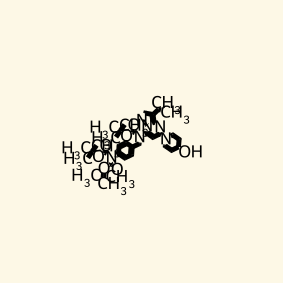 CC(C)c1cnn2c(N(Cc3ccc(N(C(=O)OC(C)(C)C)C(=O)OC(C)(C)C)cc3)C(=O)OC(C)(C)C)cc(N3CCC(O)CC3)nc12